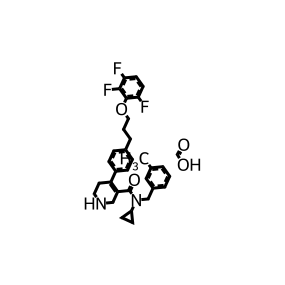 Cc1cccc(CN(C(=O)C2=C(c3ccc(CCCOc4c(F)ccc(F)c4F)cc3)CCNC2)C2CC2)c1.O=CO